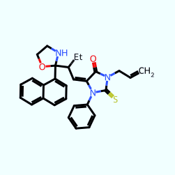 C=CCN1C(=O)C(=CC(CC)C2(c3cccc4ccccc34)NCCO2)N(c2ccccc2)C1=S